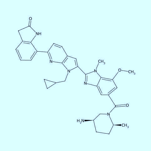 COc1cc(C(=O)N2C[C@H](N)CC[C@@H]2C)cc2nc(-c3cc4ccc(-c5cccc6c5NC(=O)C6)nc4n3CC3CC3)n(C)c12